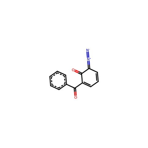 [N-]=[N+]=C1C=CC=C(C(=O)c2ccccc2)C1=O